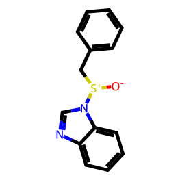 [O-][S+](Cc1ccccc1)n1cnc2ccccc21